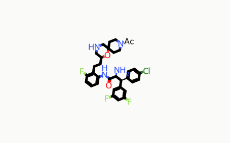 CC(=O)N1CCC2(CC1)CNCC(CCc1c(F)cccc1NC(=O)[C@@H](N)[C@@H](c1ccc(Cl)cc1)c1cc(F)cc(F)c1)O2